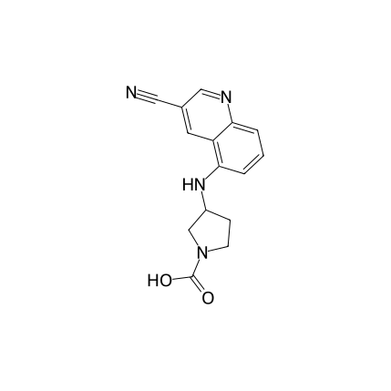 N#Cc1cnc2cccc(NC3CCN(C(=O)O)C3)c2c1